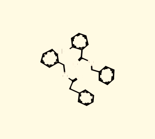 O=C(Cc1ccccc1)OCc1ccccc1.O=C(OCc1ccccc1)c1ccccc1O